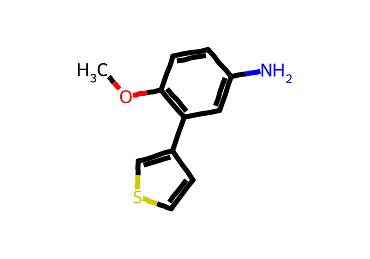 COc1ccc(N)cc1-c1ccsc1